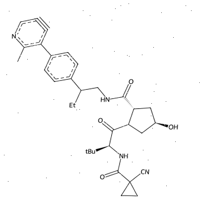 CCC(CNC(=O)[C@@H]1C[C@@H](O)CC1C(=O)[C@@H](NC(=O)C1(C#N)CC1)C(C)(C)C)c1ccc(-c2c#ccnc2C)cc1